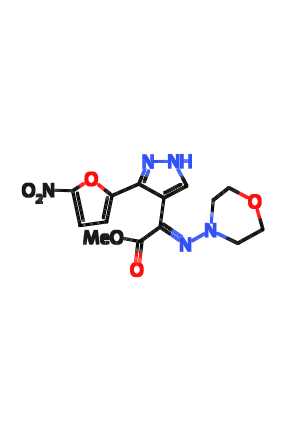 COC(=O)C(=NN1CCOCC1)c1c[nH]nc1-c1ccc([N+](=O)[O-])o1